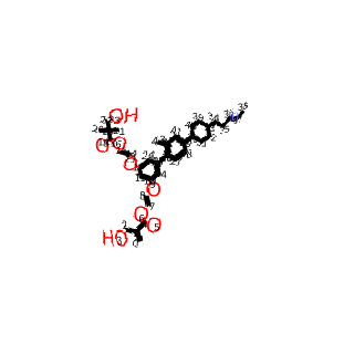 C=C(CO)C(=O)OCCOc1cc(OCCOC(=O)C(C)(C)CO)cc(-c2ccc(C3CCC(CC/C=C/C)CC3)cc2C)c1